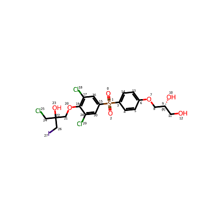 O=S(=O)(c1ccc(OC[C@H](O)CO)cc1)c1cc(Cl)c(OCC(O)(CCl)CI)c(Cl)c1